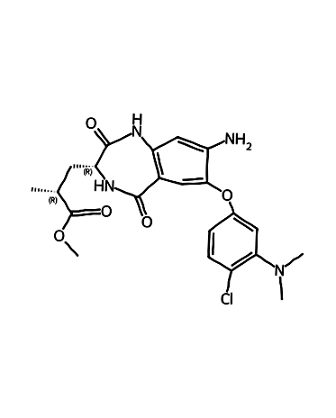 COC(=O)[C@H](C)C[C@H]1NC(=O)c2cc(Oc3ccc(Cl)c(N(C)C)c3)c(N)cc2NC1=O